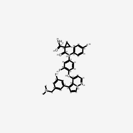 CN(C)Cc1cc(F)cc(-c2ccn3nccc(Oc4ccc(N(C(=O)C5(C(N)=O)CC5)c5ccc(F)cc5)cc4F)c23)c1